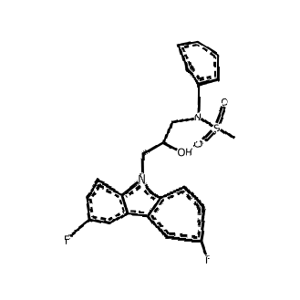 CS(=O)(=O)N(CC(O)Cn1c2ccc(F)cc2c2cc(F)ccc21)c1ccccc1